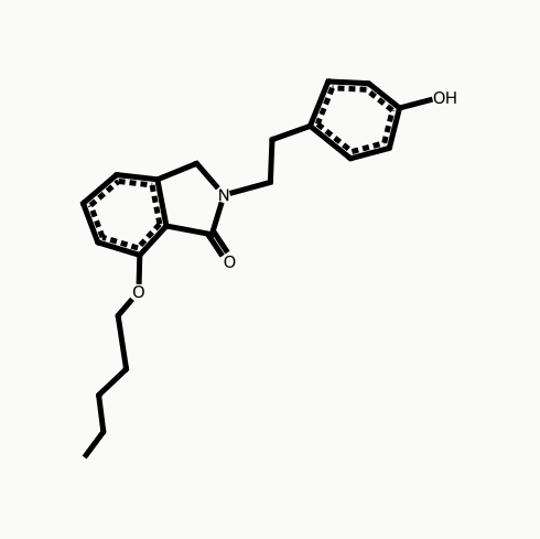 CCCCCOc1cccc2c1C(=O)N(CCc1ccc(O)cc1)C2